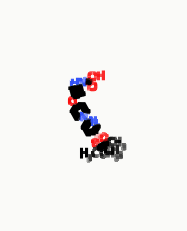 CC1(C)OB(C2C=NC(N3CCC(O[C@H]4C[C@H](NC(=O)O)C4)CC3)=CC2)OC1(C)C